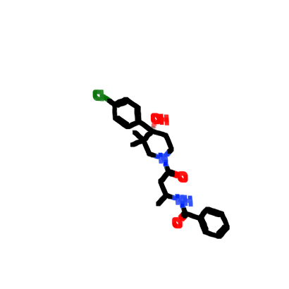 CC(CC(=O)N1CC[C@](O)(c2ccc(Cl)cc2)C(C)(C)C1)NC(=O)c1ccccc1